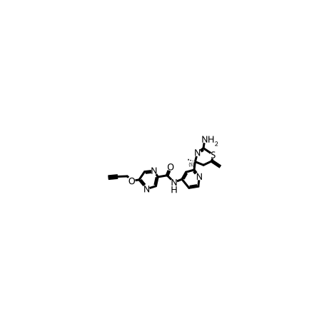 C#CCOc1cnc(C(=O)Nc2ccnc([C@]3(C)CC(=C)SC(N)=N3)c2)cn1